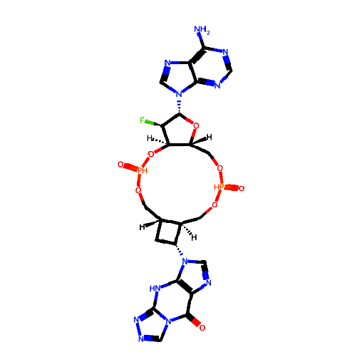 Nc1ncnc2c1ncn2[C@@H]1O[C@@H]2CO[PH](=O)OC[C@@H]3[C@@H](CO[PH](=O)O[C@H]2[C@H]1F)C[C@H]3n1cnc2c(=O)n3cnnc3[nH]c21